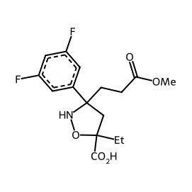 CCC1(C(=O)O)CC(CCC(=O)OC)(c2cc(F)cc(F)c2)NO1